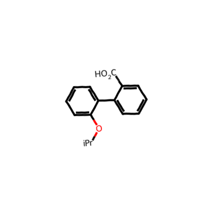 CC(C)Oc1ccccc1-c1ccccc1C(=O)O